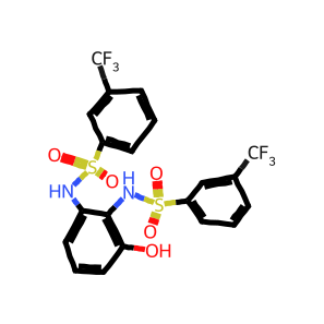 O=S(=O)(Nc1cccc(O)c1NS(=O)(=O)c1cccc(C(F)(F)F)c1)c1cccc(C(F)(F)F)c1